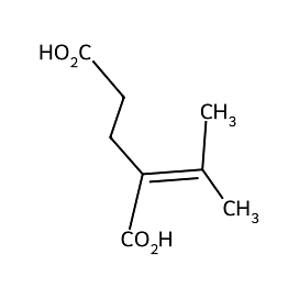 CC(C)=C(CCC(=O)O)C(=O)O